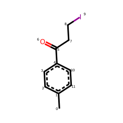 Cc1ccc(C(=O)CCI)cc1